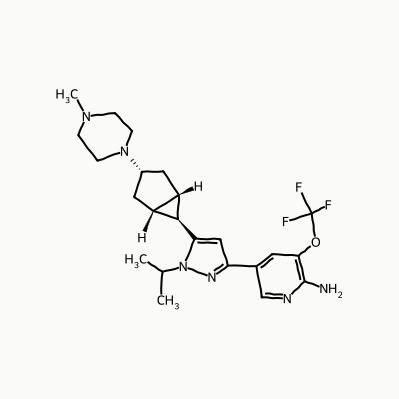 CC(C)n1nc(-c2cnc(N)c(OC(F)(F)F)c2)cc1[C@H]1[C@@H]2C[C@H](N3CCN(C)CC3)C[C@@H]21